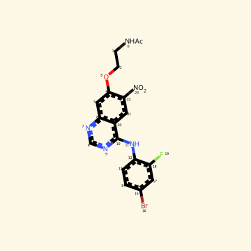 CC(=O)NCCOc1cc2ncnc(Nc3ccc(Br)cc3F)c2cc1[N+](=O)[O-]